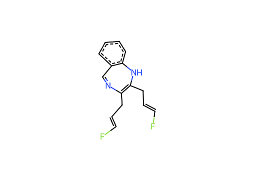 FC=CCC1=C(CC=CF)Nc2ccccc2C=N1